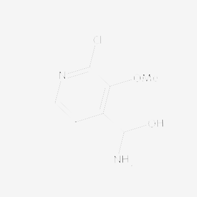 COc1c(C(N)O)ccnc1Cl